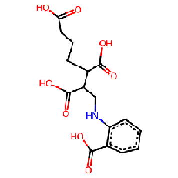 O=C(O)CCCC(C(=O)O)C(CNc1ccccc1C(=O)O)C(=O)O